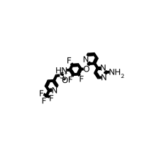 Nc1nccc(-c2cccnc2Oc2cc(F)c(N[S+]([O-])Cc3ccc(C(F)(F)F)nc3)c(F)c2F)n1